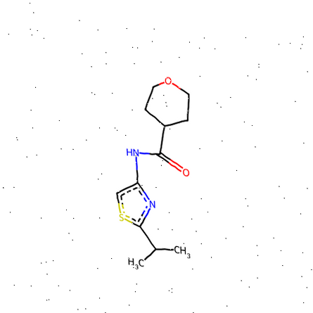 CC(C)c1nc(NC(=O)C2CCOCC2)cs1